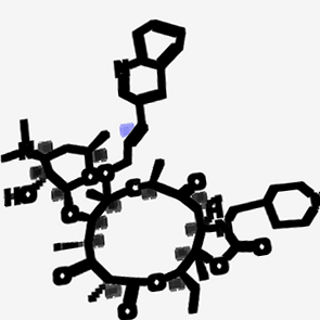 CC[C@H]1OC(=O)[C@H](C)C(=O)[C@H](C)[C@@H](O[C@@H]2O[C@H](C)C[C@H](N(C)C)[C@H]2O)[C@](C)(OC/C=C/c2cnc3ccccc3c2)C[C@@H](C)C(=O)[C@H](C)[C@H]2N(CC3CCN(C)CC3)C(=O)O[C@]12C